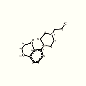 ClCCN1CCN(c2cccc3c2OCCO3)CC1